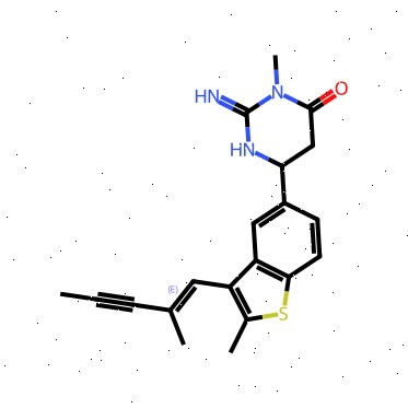 CC#C/C(C)=C/c1c(C)sc2ccc(C3CC(=O)N(C)C(=N)N3)cc12